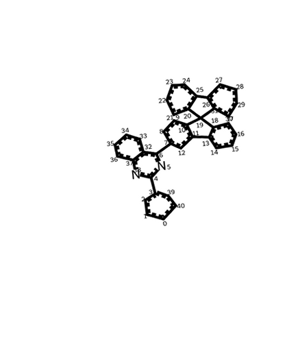 c1ccc(-c2nc(-c3ccc4c(c3)-c3ccccc3C43c4ccccc4-c4ccccc43)c3ccccc3n2)cc1